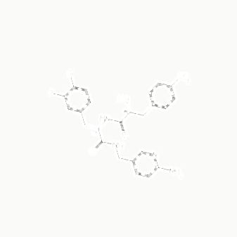 Nc1ccc(CNC(=O)[C@H](Cc2ccc(F)c(F)c2)NC(=O)[C@H](O)Cc2ccc(C(F)(F)F)cc2)cn1